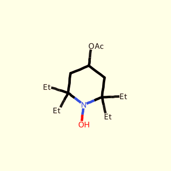 CCC1(CC)CC(OC(C)=O)CC(CC)(CC)N1O